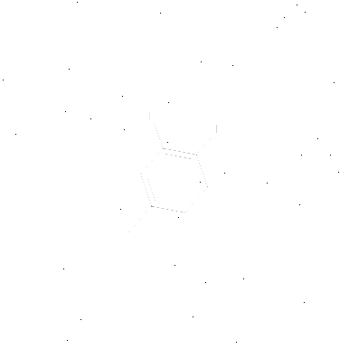 FC1=CC(F)=C(F)CC1